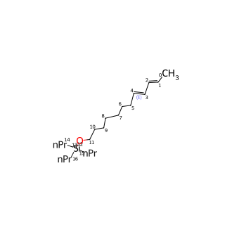 CC=C/C=C/CCCCCCCO[Si](CCC)(CCC)CCC